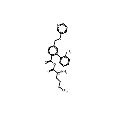 CSCC[C@H](N)C(=O)OC(=O)c1ccc(CSc2cccnc2)cc1-c1ccccc1C